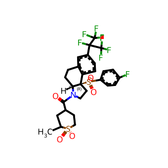 CC1CC(C(=O)N2CC[C@@]3(S(=O)(=O)c4ccc(F)cc4)c4ccc(C(F)(C(F)(F)F)C(F)(F)F)cc4CC[C@@H]23)CCS1(=O)=O